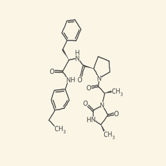 CCc1ccc(NC(=O)[C@@H](Cc2ccccc2)NC(=O)[C@H]2CCCN2C(=O)[C@@H](C)N2C(=O)N[C@H](C)C2=O)cc1